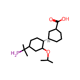 CC(C)OC1CC(C(C)(C)P)CCC1[C@H]1CCCC(C(=O)O)C1